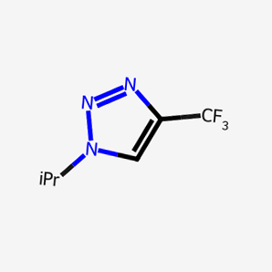 CC(C)n1cc(C(F)(F)F)nn1